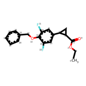 CCOC(=O)C1CC1c1cc(F)c(OCc2ccccc2)c(F)c1